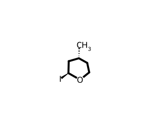 C[C@@H]1CCO[C@@H](I)C1